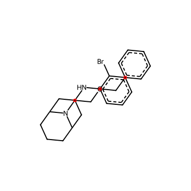 Brc1ccccc1NC1CC2CCCC(C1)N2CCOCc1ccccc1